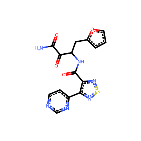 NC(=O)C(=O)C(Cc1ccco1)NC(=O)c1nsnc1-c1ccncn1